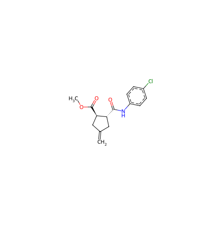 C=C1C[C@@H](C(=O)Nc2ccc(Cl)cc2)[C@H](C(=O)OC)C1